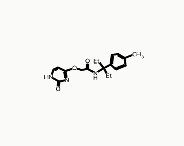 CCC(CC)(NC(=O)COc1cc[nH]c(=O)n1)c1ccc(C)cc1